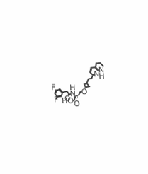 O=C(Cc1cc(F)cc(F)c1)N[C@@H](CCOC1CC(CCc2ccc3c(n2)NCCC3)C1)C(=O)O